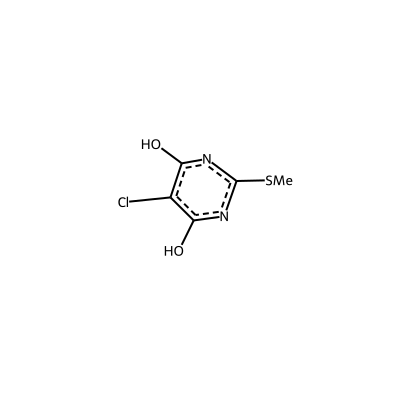 CSc1nc(O)c(Cl)c(O)n1